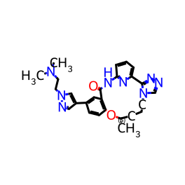 C[C@H]1CCCn2cnnc2-c2cccc(n2)NC(=O)c2cc(-c3cnn(CCN(C)C)c3)ccc2O1